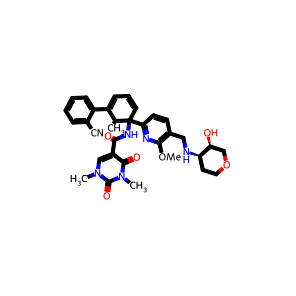 COc1nc(C2(NC(=O)c3cn(C)c(=O)n(C)c3=O)C=CC=C(c3ccccc3C#N)C2C)ccc1CN[C@@H]1CCOC[C@@H]1O